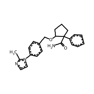 Cc1nccn1-c1ccc(COC2CCCC2(C(N)=O)c2ccccc2)cc1